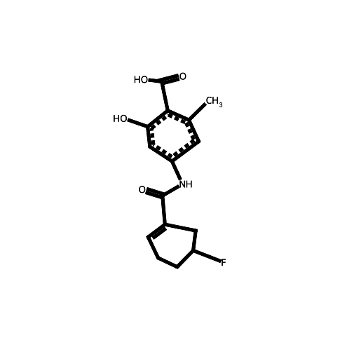 Cc1cc(NC(=O)C2=CCCC(F)C2)cc(O)c1C(=O)O